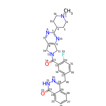 CN1CCC(c2ncc3c(n2)CN(C(=O)c2cc(Cc4n[nH]c(=O)c5ccccc45)ccc2F)C3)CC1